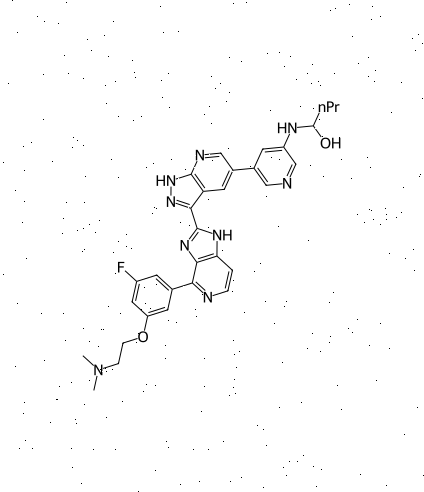 CCCC(O)Nc1cncc(-c2cnc3[nH]nc(-c4nc5c(-c6cc(F)cc(OCCN(C)C)c6)nccc5[nH]4)c3c2)c1